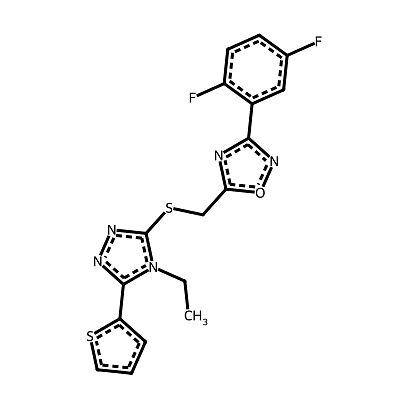 CCn1c(SCc2nc(-c3cc(F)ccc3F)no2)nnc1-c1cccs1